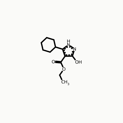 CCOC(=O)c1c(O)n[nH]c1C1CCCCC1